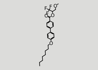 CCCCCCCCOc1ccc(-c2ccc(C(=O)OC(COC)C(F)(F)F)cc2)cc1